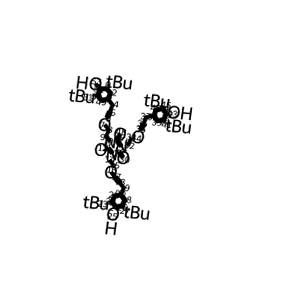 CC(C)(C)c1cc(CC#COCCn2c(=O)n(CCOC#CCc3cc(C(C)(C)C)c(O)c(C(C)(C)C)c3)c(=O)n(CCOC#CCc3cc(C(C)(C)C)c(O)c(C(C)(C)C)c3)c2=O)cc(C(C)(C)C)c1O